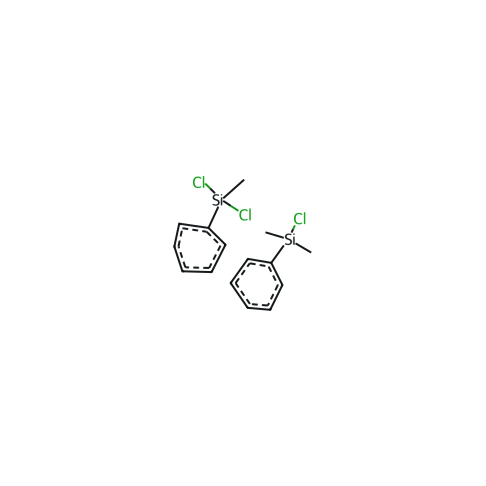 C[Si](C)(Cl)c1ccccc1.C[Si](Cl)(Cl)c1ccccc1